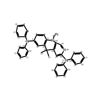 CC(C)N1c2ccc(N(c3ccccc3)c3ccccc3)cc2C(C)(C)c2cc(N(c3ccccc3)c3ccccc3)ncc21